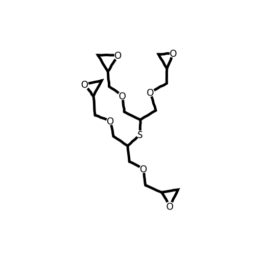 C(OCC(COCC1CO1)SC(COCC1CO1)COCC1CO1)C1CO1